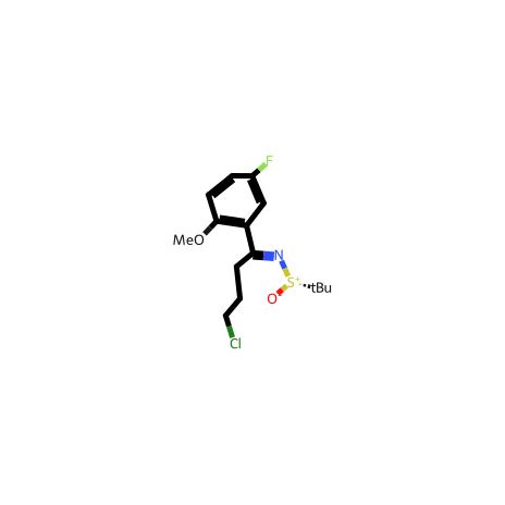 COc1ccc(F)cc1/C(CCCCl)=N/[S@@+]([O-])C(C)(C)C